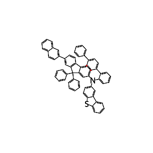 c1ccc(-c2ccc(-c3ccccc3N(c3ccc4c(c3)C(c3ccccc3)(c3ccccc3)c3cc(-c5ccc6ccccc6c5)ccc3-4)c3ccc4sc5ccccc5c4c3)cc2)cc1